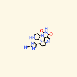 N#Cc1ncc(-c2ccc3ncc4c(=O)[nH]c(=O)n(C5CCNCC5)c4c3n2)cn1